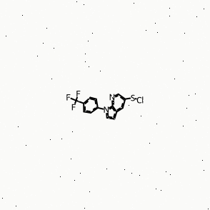 FC(F)(F)c1ccc(-n2ccc3cc(SCl)cnc32)cc1